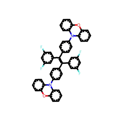 Fc1cc(F)cc(/C(=C(\c2ccc(N3c4ccccc4Oc4ccccc43)cc2)c2cc(F)cc(F)c2)c2ccc(N3c4ccccc4Oc4ccccc43)cc2)c1